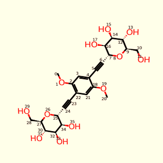 COc1cc(C#C[C@H]2O[C@H](CO)[C@@H](O)[C@H](O)[C@@H]2O)c(OC)cc1C#C[C@H]1O[C@H](CO)[C@@H](O)[C@H](O)[C@@H]1O